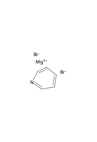 [Br-].[Br-].[Mg+2].c1ccncc1